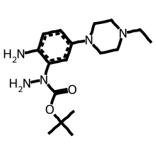 CCN1CCN(c2ccc(N)c(N(N)C(=O)OC(C)(C)C)c2)CC1